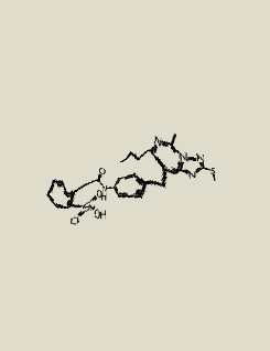 CCCc1nc(C)n2nc(SC)nc2c1Cc1ccc(NC(=O)c2ccccc2S(=O)(=O)O)cc1